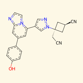 N#CC[C@]1(n2cc(-c3cc(-c4ccc(O)cc4)cc4nccn34)cn2)C[C@@H](C#N)C1